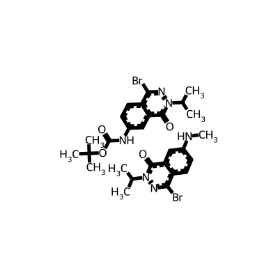 CC(C)n1nc(Br)c2ccc(NC(=O)OC(C)(C)C)cc2c1=O.CNc1ccc2c(Br)nn(C(C)C)c(=O)c2c1